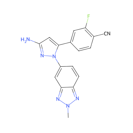 Cn1nc2ccc(-n3nc(N)cc3-c3ccc(C#N)c(F)c3)cc2n1